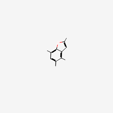 Cc1cc(C)c2oc(C=O)cc2c1C